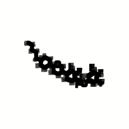 CCCCCC1CCC(C2CCC(c3ccc(C(F)(F)Oc4cc(F)c(F)c(F)c4)c(F)c3F)=CO2)CC1